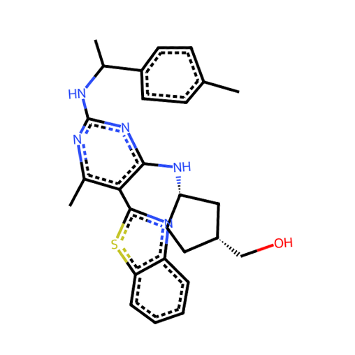 Cc1ccc(C(C)Nc2nc(C)c(-c3nc4ccccc4s3)c(N[C@H]3CC[C@@H](CO)C3)n2)cc1